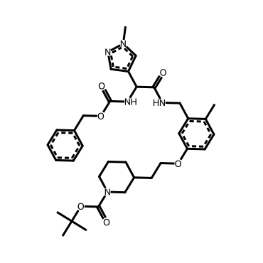 Cc1ccc(OCCC2CCCN(C(=O)OC(C)(C)C)C2)cc1CNC(=O)C(NC(=O)OCc1ccccc1)c1cnn(C)c1